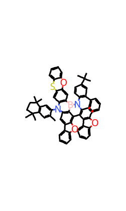 Cc1cc2c(cc1N1c3cc4c(cc3B3c5c1cc1c(oc6ccccc61)c5-c1c(ccc5oc6ccccc6c15)N3c1ccc(C(C)(C)C)cc1-c1ccccc1)Oc1ccccc1S4)C(C)(C)CCC2(C)C